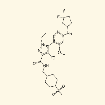 CCn1nc(C(=O)NCC2CCC(S(C)(=O)=O)CC2)c(Cl)c1-c1cnc(NC2CCC(F)(F)C2)cc1OC